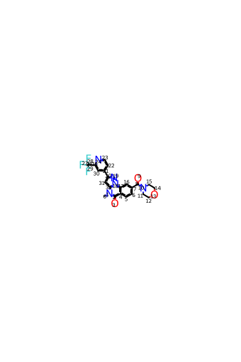 Cn1c(=O)c2ccc(C(=O)N3CCOCC3)cc2n2nc(-c3ccnc(C(F)(F)F)c3)cc12